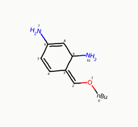 CCCCO/C=C1/C=CC(N)=CC1N